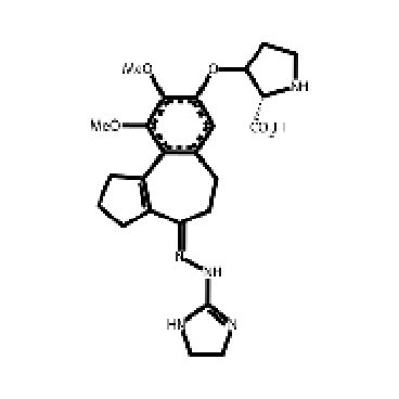 COc1c(OC2CCN[C@@H]2C(=O)O)cc2c(c1OC)C1=C(CCC1)C(=NNC1=NCCN1)CC2